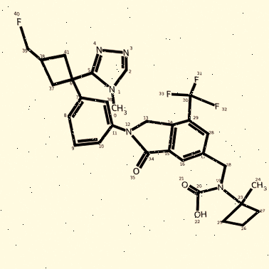 Cn1cnnc1C1(c2cccc(N3Cc4c(cc(CN(C(=O)O)C5(C)CCC5)cc4C(F)(F)F)C3=O)c2)CC(CF)C1